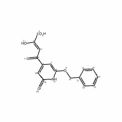 O=C(O)C(O)=CC(=O)c1cc(OCc2ccccc2)[nH]c(=O)c1